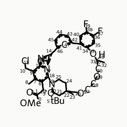 COC(=O)[C@@H](OC(C)(C)C)c1c(C)c(CCl)c2nc3c(Cl)n2c1N1CCC(C)(CC1)OCCOC[C@H](C)Oc1cc(F)c(F)cc1-c1cccc-3c1